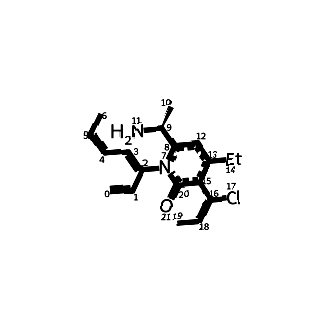 C=C/C(=C\C=C/C)n1c([C@H](C)N)cc(CC)c(/C(Cl)=C\C)c1=O